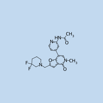 CC(=O)Nc1cc(-c2cn(C)c(=O)c3cc(CN4CCCC(F)(F)C4)oc23)ccn1